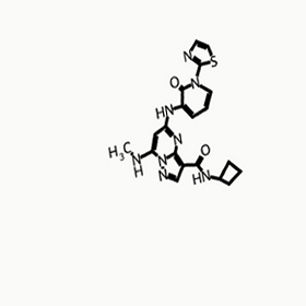 CNc1cc(Nc2cccn(-c3nccs3)c2=O)nc2c(C(=O)NC3CCC3)cnn12